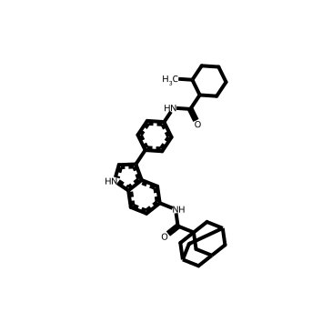 CC1CCCCC1C(=O)Nc1ccc(-c2c[nH]c3ccc(NC(=O)C45CC6CC(CC(C6)C4)C5)cc23)cc1